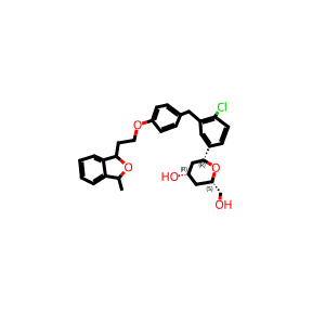 CC1OC(CCOc2ccc(Cc3cc([C@H]4C[C@@H](O)C[C@@H](CO)O4)ccc3Cl)cc2)c2ccccc21